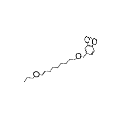 CCCOCCCCCCCCCOCc1ccc2c(c1)OCO2